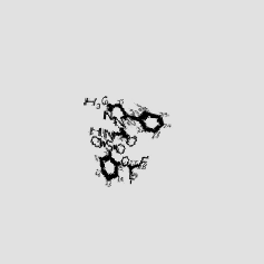 CC1=NN(C(=O)NS(=O)(=O)c2ccccc2OC(F)F)C(c2ccccc2)C1